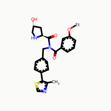 CCOc1cccc(C(=O)N(Cc2ccc(-c3scnc3C)cc2)C(=O)[C@@H]2C[C@@H](O)CN2)c1